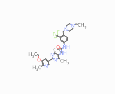 CCOc1cc(-c2nc(C)c(NC(=O)Nc3ccc(CN4CCN(CC)CC4)c(C(F)(F)F)c3)c(C)n2)cnc1C